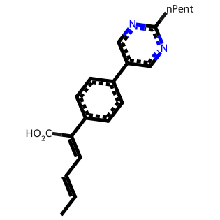 CC=CC=C(C(=O)O)c1ccc(-c2cnc(CCCCC)nc2)cc1